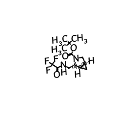 CC(C)(C)OC(=O)N1C[C@H]2C[C@H]2[C@H]1CNC(=O)C(F)(F)F